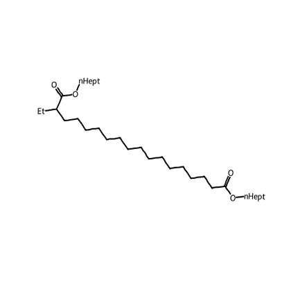 CCCCCCCOC(=O)CCCCCCCCCCCCCCCC(CC)C(=O)OCCCCCCC